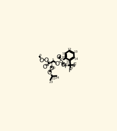 COOP(=O)(COS(=O)(=O)c1ccccc1C(F)(F)F)OOC(C)C